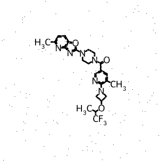 Cc1ccc2oc(N3CCN(C(=O)c4cnc(N5CC(OC(C)C(F)(F)F)C5)c(C)c4)CC3)nc2n1